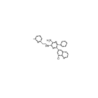 Cc1cccc(CCNc2nc(-c3cc(Cl)c4ncccc4c3)c(-c3ccccc3)nc2N)n1